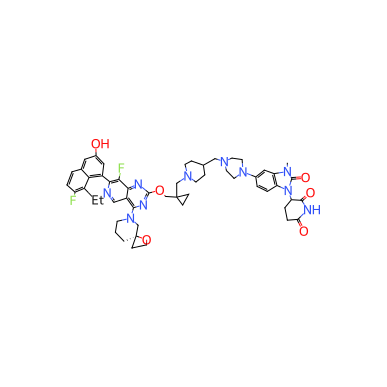 CCc1c(F)ccc2cc(O)cc(-c3ncc4c(N5CCC[C@]6(CCO6)C5)nc(OCC5(CN6CCC(CN7CCN(c8ccc9c(c8)n(C)c(=O)n9C8CCC(=O)NC8=O)CC7)CC6)CC5)nc4c3F)c12